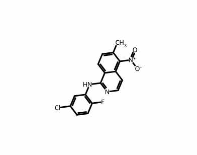 Cc1ccc2c(Nc3cc(Cl)ccc3F)nccc2c1[N+](=O)[O-]